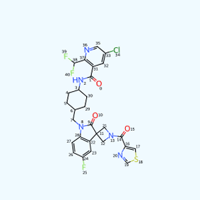 O=C(NC1CCC(CN2C(=O)C3(CN(C(=O)c4cscn4)C3)c3cc(F)ccc32)CC1)c1cc(Cl)cnc1C(F)F